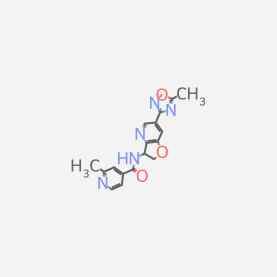 Cc1cc(C(=O)NC2COc3cc(-c4noc(C)n4)cnc32)ccn1